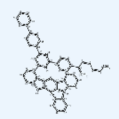 C=C(/C=C\C=C/C)c1ccc(-c2nc(-c3ccc(-c4ccccc4)cc3)nc(-c3cccc4oc5c(cc6c7ccccc7n7c8ccccc8c5c67)c34)n2)cc1